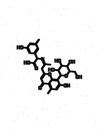 C/C(Cc1cc(=O)c2c(C)cc(O)c(C3OC(CO)C(O)C(O)C3O)c2o1)=N/C(C(=O)O)c1cc(C)cc(O)c1